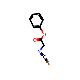 O=C(CN=C=S)Oc1ccccc1